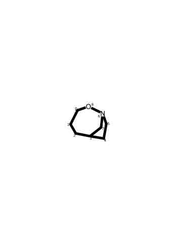 [CH]1CCC2CCN(C2)O1